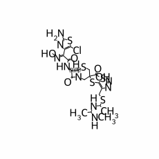 CNC(C)NC(C)SCc1nnsc1SC1(C(=O)O)CS[C@@H]2[C@H](NC(=O)C(=NO)c3nc(N)sc3Cl)C(=O)N2C1